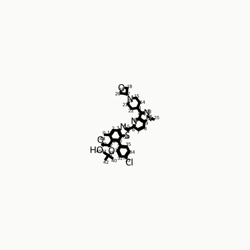 Cc1cc2nc(-c3ccc4c(n3)c(C3CCN(C5COC5)CC3)nn4C)sc2c(-c2ccc(Cl)cc2)c1C(OC(C)(C)C)C(=O)O